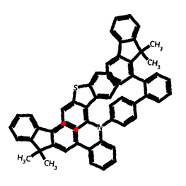 CC1(C)c2ccccc2-c2ccc(-c3ccccc3N(c3ccc(-c4ccccc4-c4cccc5c4C(C)(C)c4ccccc4-5)cc3)c3cccc4sc5ccccc5c34)cc21